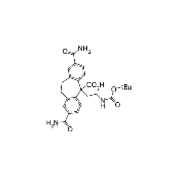 CC(C)(C)OC(=O)NCCC1(C(=O)O)c2ccc(C(N)=O)cc2CCc2cc(C(N)=O)ccc21